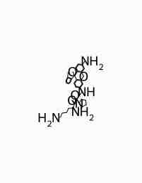 NCCCC[C@H](N)C(=O)N1CCC[C@H]1C(=O)Nc1ccc2c(c1)Oc1cc(N)ccc1C21OCc2ccccc21